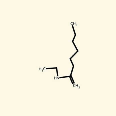 C=C(CCCCCC)NCC